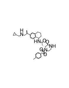 C=C(CNCC1CC1)c1ccc2c(c1)CCC[C@H]2NC(=O)C[C@@H]1C(=O)NCCN1S(=O)(=O)c1ccc(C)cc1